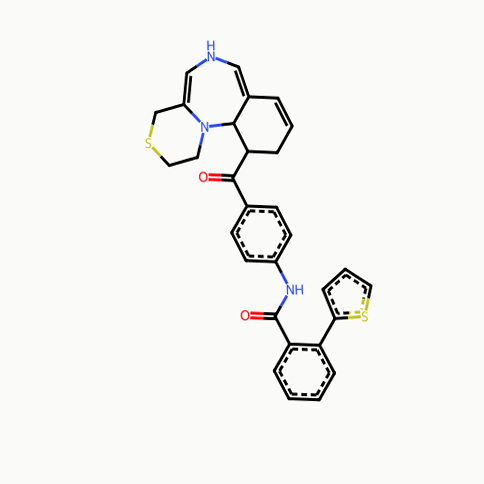 O=C(Nc1ccc(C(=O)C2CC=CC3=CNC=C4CSCCN4C32)cc1)c1ccccc1-c1cccs1